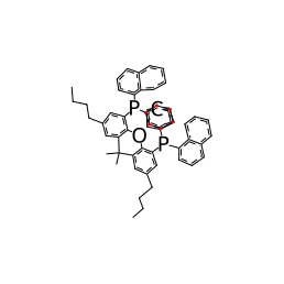 CCCCc1cc(P(c2ccccc2)c2cccc3ccccc23)c2c(c1)C(C)(C)c1cc(CCCC)cc(P(c3ccccc3)c3cccc4ccccc34)c1O2